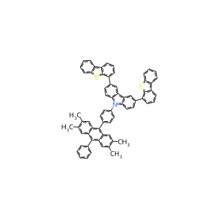 Cc1cc2c(-c3ccccc3)c3cc(C)c(C)cc3c(-c3ccc(-n4c5ccc(-c6cccc7c6sc6ccccc67)cc5c5cc(-c6cccc7c6sc6ccccc67)ccc54)cc3)c2cc1C